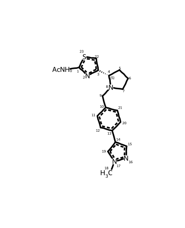 CC(=O)Nc1nc([C@@H]2CCCN2Cc2ccc(-c3cnn(C)c3)cc2)cs1